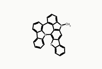 Cn1c2cccc3c4cccc5c6ccccc6n(c45)c4c5sc6ccccc6c5cc1c4c32